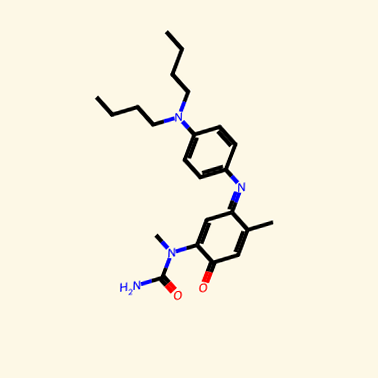 CCCCN(CCCC)c1ccc(N=C2C=C(N(C)C(N)=O)C(=O)C=C2C)cc1